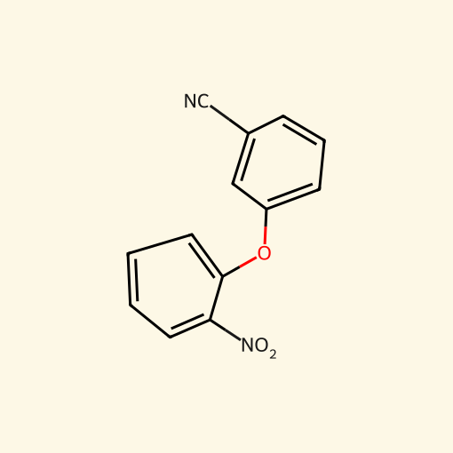 N#Cc1cccc(Oc2ccccc2[N+](=O)[O-])c1